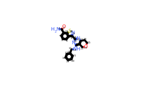 NC(=O)c1cccc2c(-c3nc4c(c(NCc5ccccc5)n3)COCC4)nsc12